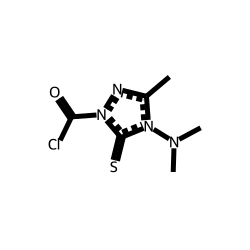 Cc1nn(C(=O)Cl)c(=S)n1N(C)C